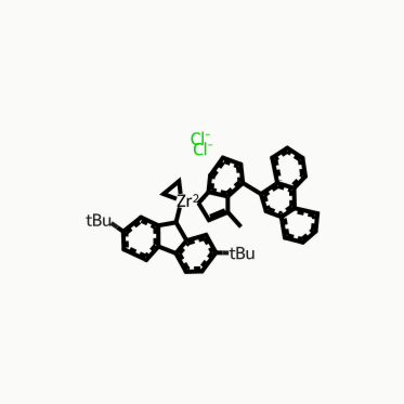 CC1=C[CH]([Zr+2]2([CH]3c4cc(C(C)(C)C)ccc4-c4ccc(C(C)(C)C)cc43)[CH2][CH2]2)c2cccc(-c3cc4ccccc4c4ccccc34)c21.[Cl-].[Cl-]